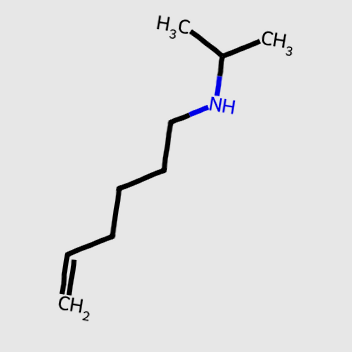 C=CCCCCNC(C)C